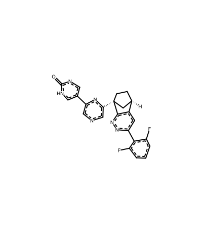 O=c1ncc(-c2cncc([C@]34CC[C@H](C3)c3cc(-c5c(F)cccc5F)nnc34)n2)c[nH]1